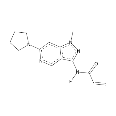 C=CC(=O)N(F)c1nn(C)c2cc(N3CCCC3)ncc12